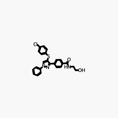 O=C(NCCO)c1ccc(-c2nn(-c3ccccc3)cc2Sc2ccc(Cl)cc2)cc1